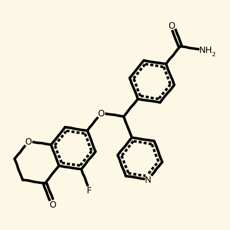 NC(=O)c1ccc(C(Oc2cc(F)c3c(c2)OCCC3=O)c2ccncc2)cc1